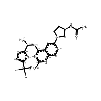 CC(=O)N[C@@H]1CCN(c2cc3c(N[C@H](C)c4nc(C(F)(F)F)no4)nc(C)nc3cn2)C1